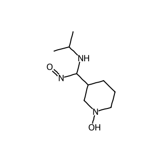 CC(C)NC(N=O)C1CCCN(O)C1